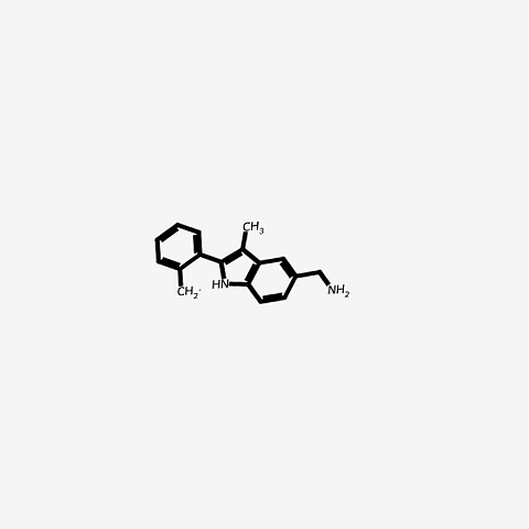 [CH2]c1ccccc1-c1[nH]c2ccc(CN)cc2c1C